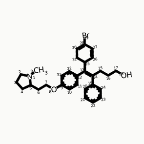 CN1CCCC1CCOc1ccc(/C(=C(/CCCO)c2ccccc2)C2C=CC(Br)=CC2)cc1